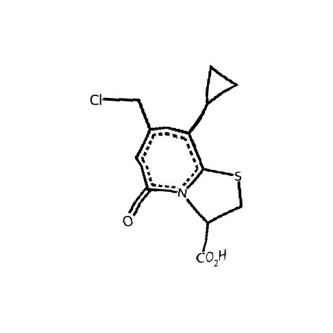 O=C(O)C1CSc2c(C3CC3)c(CCl)cc(=O)n21